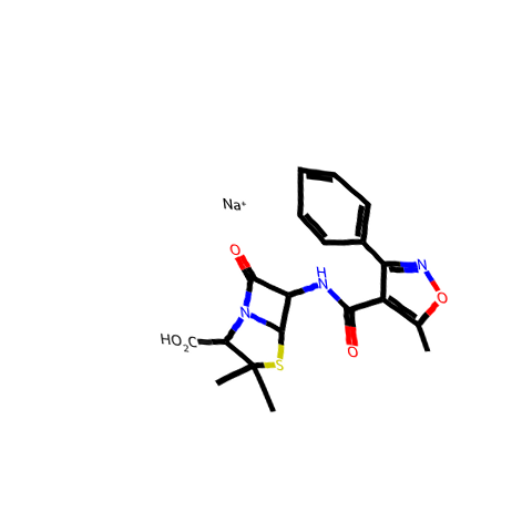 Cc1onc(-c2ccccc2)c1C(=O)NC1C(=O)N2C1SC(C)(C)C2C(=O)O.[Na+]